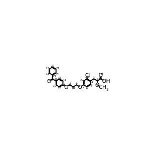 COC(Cc1ccc(OCCCOc2ccc(C(=O)c3ccccc3)cc2)cc1Cl)C(=O)O